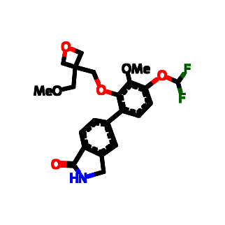 COCC1(COc2c(-c3ccc4c(c3)CNC4=O)ccc(OC(F)F)c2OC)COC1